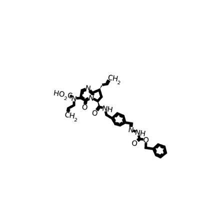 C=CC[C@@H]1C[C@@H](C(=O)NCc2ccc(C=NNC(=O)OCc3ccccc3)cc2)n2c1ncc(N(CC=C)C(=O)O)c2=O